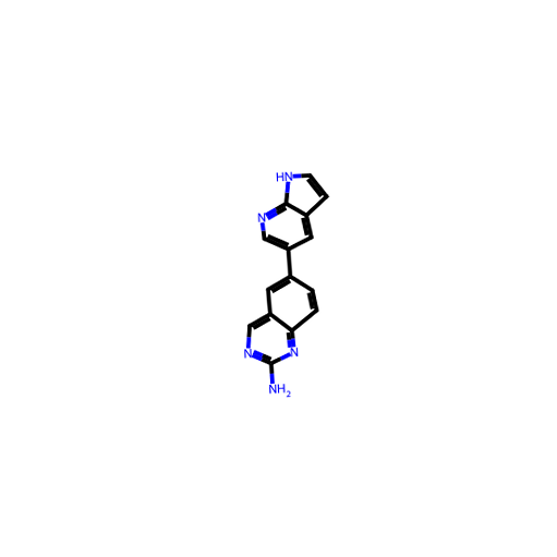 Nc1ncc2cc(-c3cnc4[nH]ccc4c3)ccc2n1